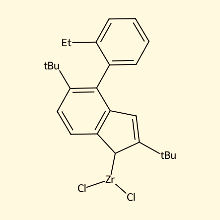 CCc1ccccc1-c1c(C(C)(C)C)ccc2c1C=C(C(C)(C)C)[CH]2[Zr]([Cl])[Cl]